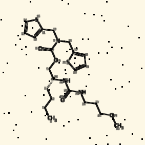 CCCC[C@H](COC(=O)N(Cc1cccs1)Cc1cccs1)NC(=O)NCCCOC